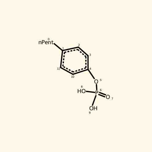 CCCCCc1ccc(OP(=O)(O)O)cc1